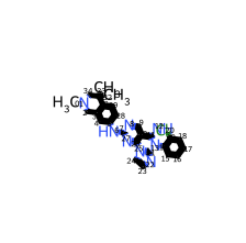 CN1Cc2cc(Nc3ncc4c(=N)n(-c5ccccc5Cl)c5nccn5c4n3)ccc2C(C)(C)C1